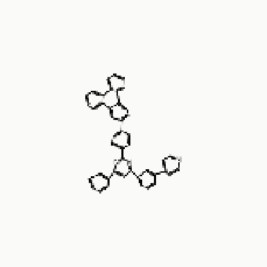 c1ccc(-c2cc(-c3cccc(-c4ccncc4)c3)nc(-c3ccc(-c4ccc5c6ccccc6c6ccccc6c5c4)cc3)n2)cc1